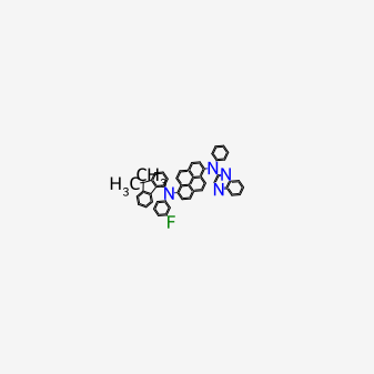 CC1(C)c2ccccc2-c2c(N(c3cccc(F)c3)c3ccc4ccc5c(N(c6ccccc6)c6cnc7ccccc7n6)ccc6ccc3c4c65)cccc21